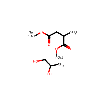 CC(O)CO.CCCCCCCCOC(=O)CC(C(=O)OCCCCCCCC)S(=O)(=O)O.[Na]